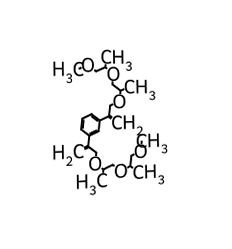 C=C(COC(C)COC(C)COC)c1cccc(C(=C)COC(C)COC(C)COC)c1